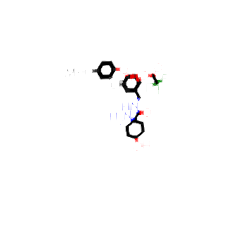 COc1ccc(Oc2ccc(CNC(=O)C3(N)CCC(O)CC3)cc2)c(C(F)(F)F)c1.O=C(O)C(F)(F)F